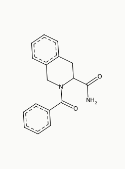 NC(=O)C1Cc2ccccc2CN1C(=O)c1ccccc1